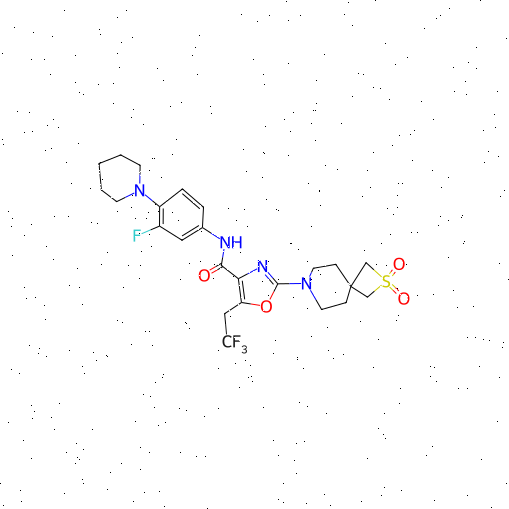 O=C(Nc1ccc(N2CCCCC2)c(F)c1)c1nc(N2CCC3(CC2)CS(=O)(=O)C3)oc1CC(F)(F)F